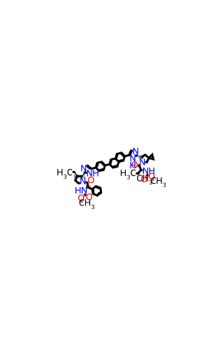 CC[C@@H]1CCN(C(=O)[C@@H](NC(=O)OC)c2ccccc2)[C@@H]1c1ncc(-c2ccc(-c3ccc4cc(-c5cnc([C@@H]6CC7(CC7)CN6C(=O)C(NC(=O)OC)C(C)C)[nH]5)ccc4c3)cc2)[nH]1